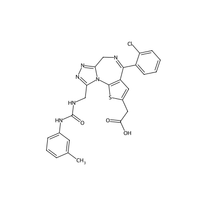 Cc1cccc(NC(=O)NCc2nnc3n2-c2sc(CC(=O)O)cc2C(c2ccccc2Cl)=NC3)c1